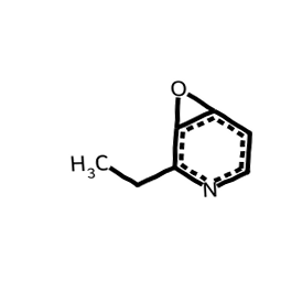 CCc1nccc2c1O2